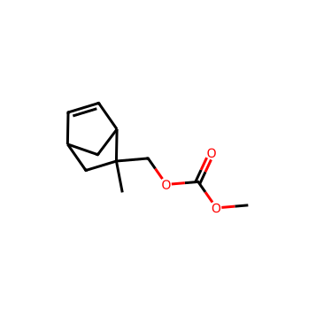 COC(=O)OCC1(C)CC2C=CC1C2